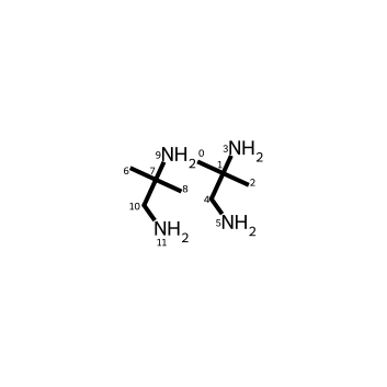 CC(C)(N)CN.CC(C)(N)CN